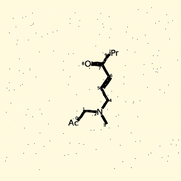 CC(=O)CN(C)C/C=C/C(=O)C(C)C